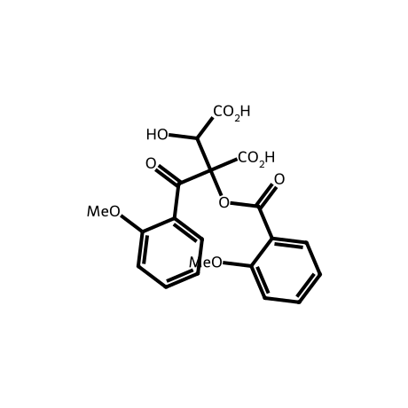 COc1ccccc1C(=O)OC(C(=O)O)(C(=O)c1ccccc1OC)C(O)C(=O)O